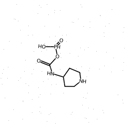 O=C(NC1CCNCC1)O[PH](=O)O